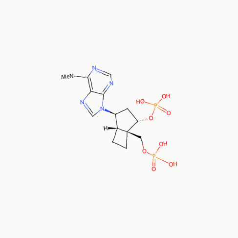 CNc1ncnc2c1ncn2[C@H]1C[C@H](OP(=O)(O)O)[C@]2(COP(=O)(O)O)CC[C@H]12